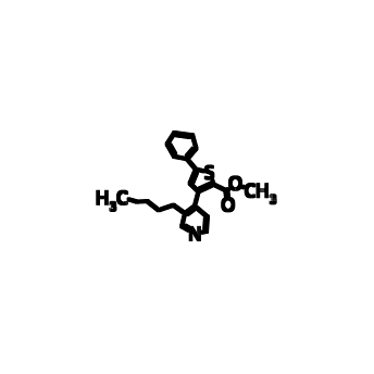 CCCCCc1cnccc1-c1cc(-c2ccccc2)sc1C(=O)OC